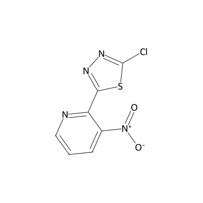 O=[N+]([O-])c1cccnc1-c1nnc(Cl)s1